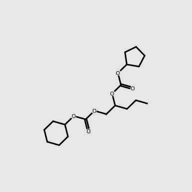 CCCC([CH]OC(=O)OC1CCCCC1)OC(=O)OC1CCCC1